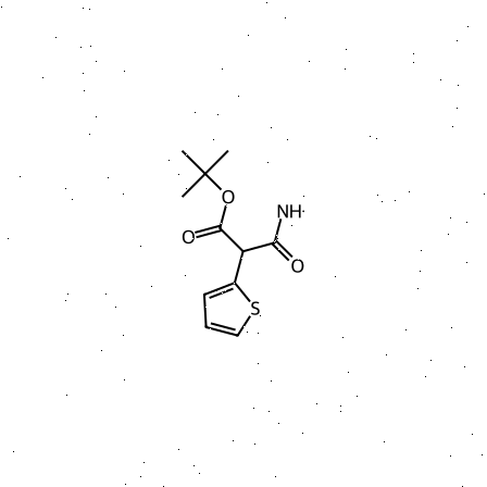 CC(C)(C)OC(=O)C(C([NH])=O)c1cccs1